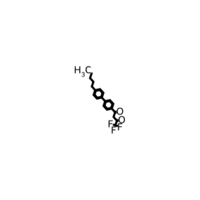 CCCCCc1ccc(-c2ccc(C(=O)CC(=O)C(F)(F)F)cc2)cc1